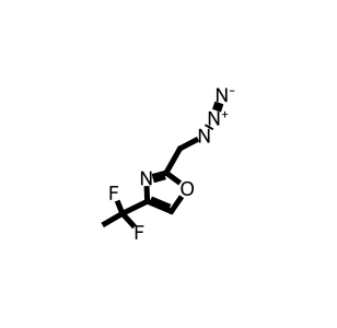 CC(F)(F)c1coc(CN=[N+]=[N-])n1